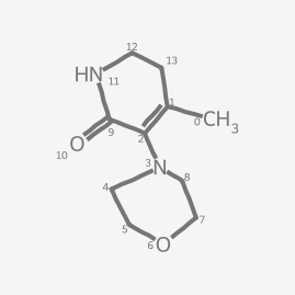 CC1=C(N2CCOCC2)C(=O)NCC1